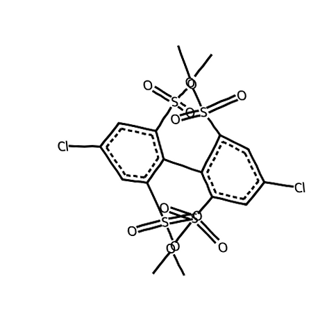 COS(=O)(=O)c1cc(Cl)cc(S(=O)(=O)OC)c1-c1c(S(=O)(=O)OC)cc(Cl)cc1S(=O)(=O)OC